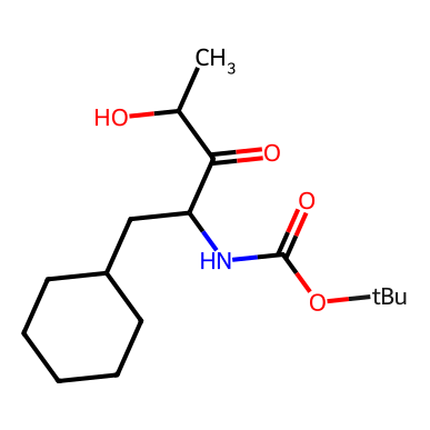 CC(O)C(=O)C(CC1CCCCC1)NC(=O)OC(C)(C)C